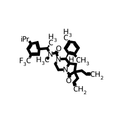 C=CCC1(CC=C)C[C@H]2[C@H](c3cc(C)ccc3C)N(C(=O)N(C)[C@H](C)c3cc(C(C)C)cc(C(F)(F)F)c3)CCN2C1=O